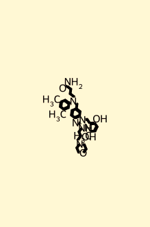 Cc1cc(C)cc(N(CCCC(N)=O)Cc2ccc3nc(NCC(O)CN4CCOCC4)n(Cc4nc(C)ccc4O)c3c2)c1